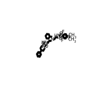 CN(C)c1cc(F)c(S(=O)(=O)NCCCN(CCCNS(=O)(=O)N2CCC(c3ccccc3)CC2)CC2CCCCC2)c(F)c1